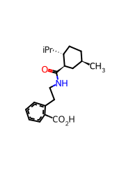 CC(C)[C@@H]1CC[C@@H](C)C[C@H]1C(=O)NCCc1ccccc1C(=O)O